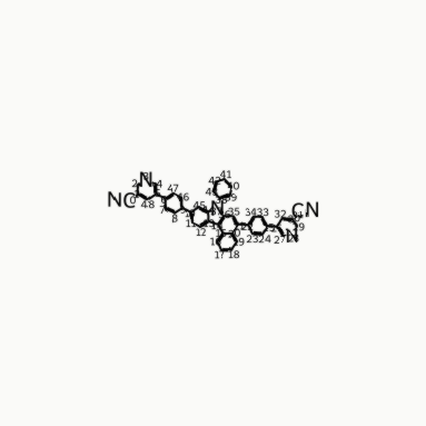 N#Cc1cncc(-c2ccc(-c3ccc4c5c6ccccc6c(-c6ccc(-c7cncc(C#N)c7)cc6)cc5n(-c5ccccc5)c4c3)cc2)c1